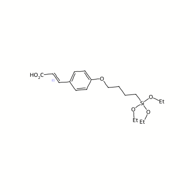 CCO[Si](CCCCOc1ccc(/C=C/C(=O)O)cc1)(OCC)OCC